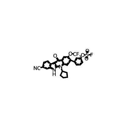 N#Cc1ccc2c(c1)[nH]c1c2c(=O)c2cc(OC(F)(F)F)c(-c3cccc(OS(=O)(=O)F)c3)cc2n1C1CCCC1